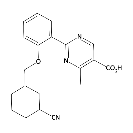 Cc1nc(-c2ccccc2OCC2CCCC(C#N)C2)ncc1C(=O)O